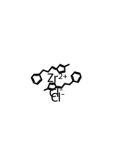 CC1=CC(=CCCc2ccccc2)[C]([Zr+2][C]2=CC(C)=CC2=CCCc2ccccc2)=C1.[Cl-].[Cl-]